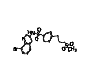 CS(=O)(=O)CCCc1ccc(S(=O)(=O)Nc2cnc3c(Br)cccc3c2)cc1